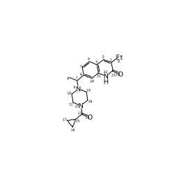 CCc1cc2ccc(C(C)N3CCN(C(=O)C4CC4)CC3)cc2[nH]c1=O